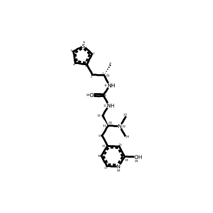 C[C@@H](Cc1ccsc1)NC(=O)NC[C@H](Cc1ccnc(O)c1)N(C)C